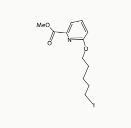 COC(=O)c1cccc(OCCCCCI)n1